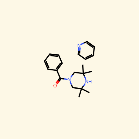 CC1(C)CN(C(=O)c2ccccc2)CC(C)(C)N1.c1ccncc1